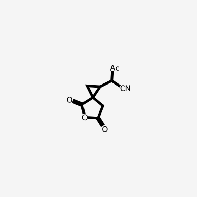 CC(=O)C(C#N)C1CC12CC(=O)OC2=O